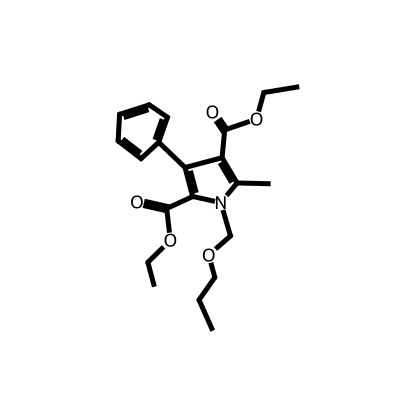 CCCOCn1c(C)c(C(=O)OCC)c(-c2ccccc2)c1C(=O)OCC